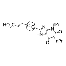 CCCn1c(=O)c2[nH]c(C34CCC(C=CC(=O)O)(CC3)CC4)nc2n(CCC)c1=O